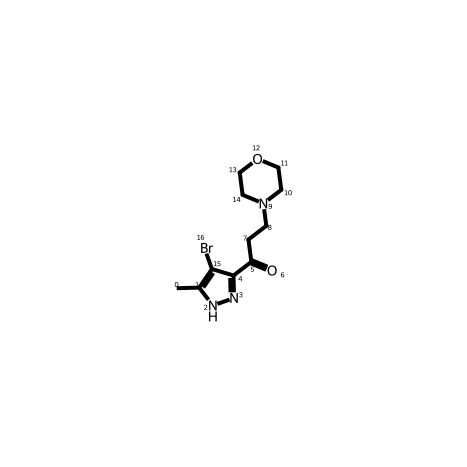 Cc1[nH]nc(C(=O)CCN2CCOCC2)c1Br